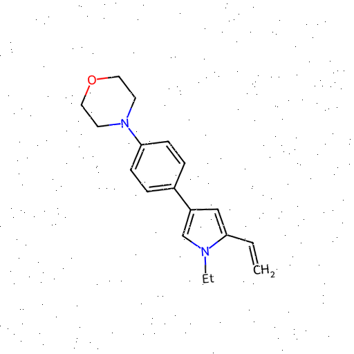 C=Cc1cc(-c2ccc(N3CCOCC3)cc2)cn1CC